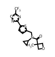 CC1(C(=O)N(Cc2ccc(-c3noc(C(F)(F)F)n3)s2)C2CC2)COC1